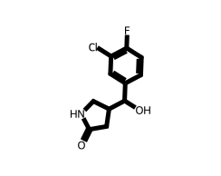 O=C1CC(C(O)c2ccc(F)c(Cl)c2)CN1